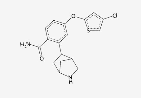 NC(=O)c1ccc(Oc2cc(Cl)cs2)cc1C1CC2CC1CN2